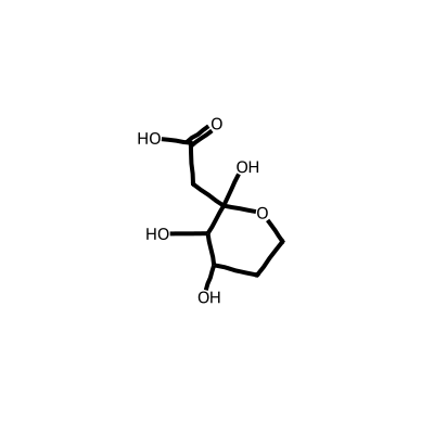 O=C(O)CC1(O)OCCC(O)C1O